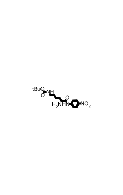 CC(C)(C)OC(=O)NCCCC[C@H](N)C(=O)Nc1ccc([N+](=O)[O-])cc1